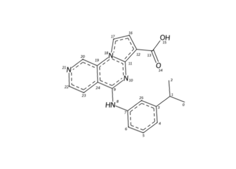 CC(C)c1cccc(Nc2nc3c(C(=O)O)ccn3c3cnccc23)c1